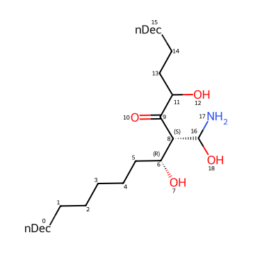 CCCCCCCCCCCCCCC[C@@H](O)[C@H](C(=O)C(O)CCCCCCCCCCCC)C(N)O